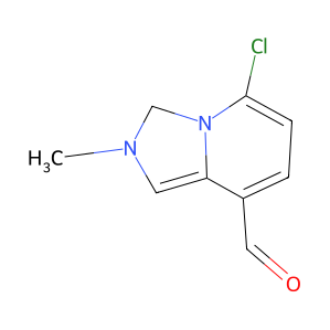 CN1C=C2C(C=O)=CC=C(Cl)N2C1